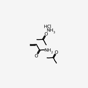 C=CC(N)=O.CC(C)=O.CC(C)=O.Cl.N